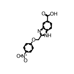 O=C(O)c1ccc2[nH]c(COc3ccc([N+](=O)[O-])cc3)nc2c1